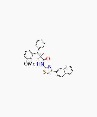 COc1cccc(C(c2ccccc2)C(C)(C)C(=O)Nc2nc(-c3ccc4ccccc4c3)cs2)c1